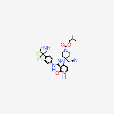 CC(C)COC(=O)N1CCC(CC#N)(n2nc(Nc3ccc(C4(C(F)(F)F)CCNC4)cc3)c3c(=O)[nH]ccc32)CC1